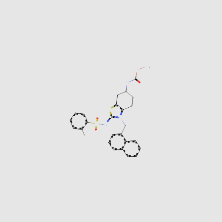 CC(C)(C)OC(=O)NC1CCc2c(s/c(=N\S(=O)(=O)c3ccccc3C(=O)O)n2Cc2cccc3ccccc23)C1